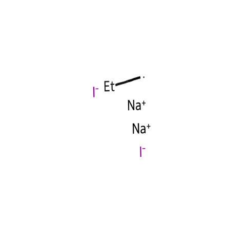 [CH2]CC.[I-].[I-].[Na+].[Na+]